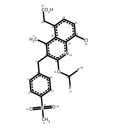 Cc1c(Cc2ccc(S(C)(=O)=O)cc2)c(OC(F)F)nc2c(Cl)ccc(CC(=O)O)c12